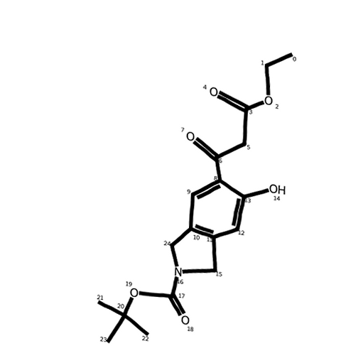 CCOC(=O)CC(=O)c1cc2c(cc1O)CN(C(=O)OC(C)(C)C)C2